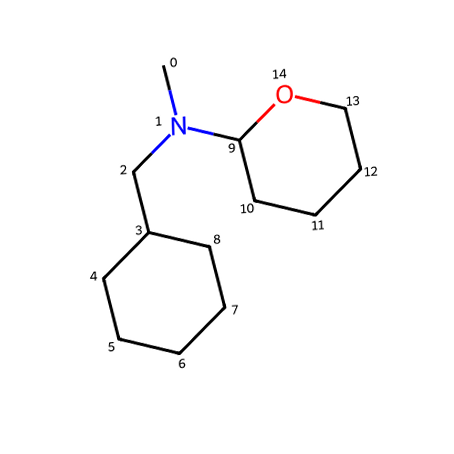 CN(CC1CCCCC1)C1CCCCO1